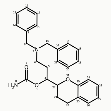 NC(=O)OC(CCN(Cc1ccccc1)Cc1ccccc1)C1CCc2ccccc2O1